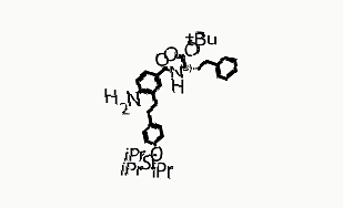 CC(C)[Si](Oc1ccc(CCc2cc(C(=O)N[C@@H](CCc3ccccc3)C(=O)OC(C)(C)C)ccc2N)cc1)(C(C)C)C(C)C